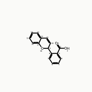 O=C(O)c1ccccc1C1C=Cc2ccccc2O1